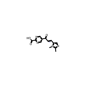 Cc1ncc(/C=C/C(=O)c2cnc(C(=O)O)nc2)n1C